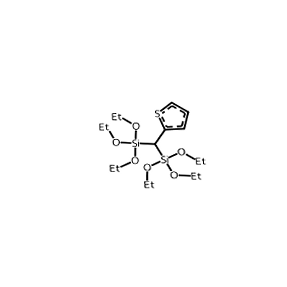 CCO[Si](OCC)(OCC)C(c1cccs1)[Si](OCC)(OCC)OCC